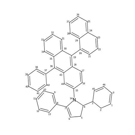 C1=CCC(C2CC=C(c3ccccc3)N2c2ccc3c(-c4cccc5ccccc45)c4ccccc4c(-c4ccccc4)c3c2)C=C1